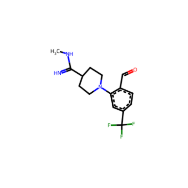 CNC(=N)C1CCN(c2cc(C(F)(F)F)ccc2C=O)CC1